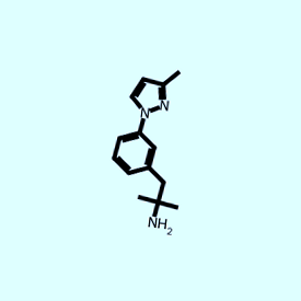 Cc1ccn(-c2cccc(CC(C)(C)N)c2)n1